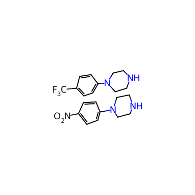 FC(F)(F)c1ccc(N2CCNCC2)cc1.O=[N+]([O-])c1ccc(N2CCNCC2)cc1